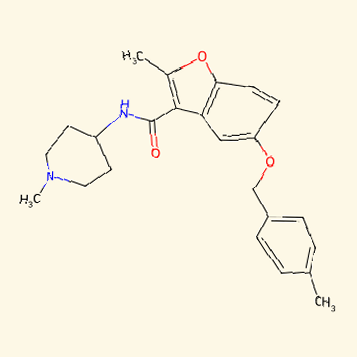 Cc1ccc(COc2ccc3oc(C)c(C(=O)NC4CCN(C)CC4)c3c2)cc1